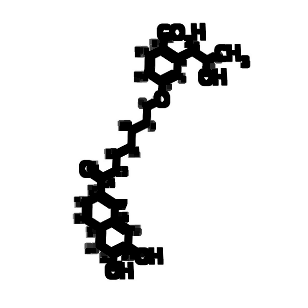 CC(O)Cc1cc(OCCCCCCC(=O)c2ccc3cc(O)c(O)cc3c2)ccc1C(=O)O